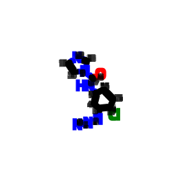 [N-]=[N+]=Nc1cc(NC(=O)n2ccnc2)ccc1Cl